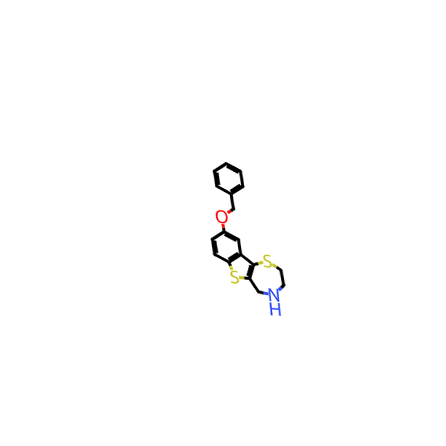 c1ccc(COc2ccc3sc4c(c3c2)SCCNC4)cc1